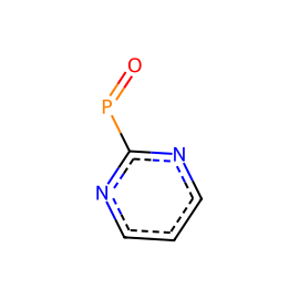 O=Pc1ncccn1